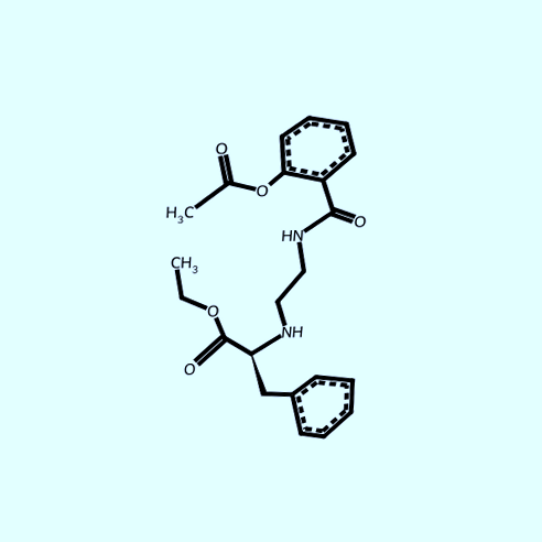 CCOC(=O)[C@H](Cc1ccccc1)NCCNC(=O)c1ccccc1OC(C)=O